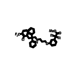 CCC(CC)(C(=O)OC)c1cccc(OCCCNCC(Cc2cccc(C(F)(F)F)c2Cl)(c2ccccc2)c2ccccc2)c1